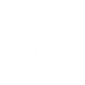 CCCC(C)n1ccc2c(CC(=N)c3c(Cl)cccc3Cl)nccc21